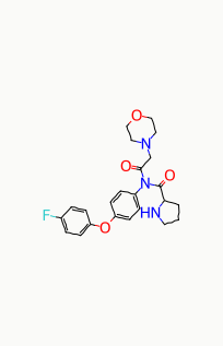 O=C(CN1CCOCC1)N(C(=O)C1CCCN1)c1ccc(Oc2ccc(F)cc2)cc1